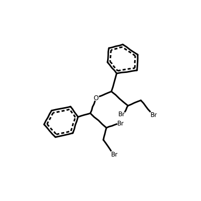 BrCC(Br)C(OC(c1ccccc1)C(Br)CBr)c1ccccc1